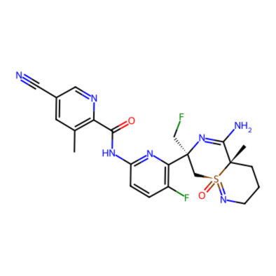 Cc1cc(C#N)cnc1C(=O)Nc1ccc(F)c([C@]2(CF)C[S@]3(=O)=NCCC[C@@]3(C)C(N)=N2)n1